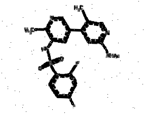 CC(=O)Nc1cc(-c2cnc(C)c(NS(=O)(=O)c3ccc(F)cc3F)c2)c(C)cn1